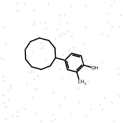 Cc1cc(C2CCCCCCCCC2)ccc1O